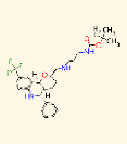 CC(C)(C)OC(=O)NCCCNC[C@H]1CC[C@@H]2[C@H](O1)c1cc(C(F)(F)F)ccc1N[C@H]2c1ccccc1